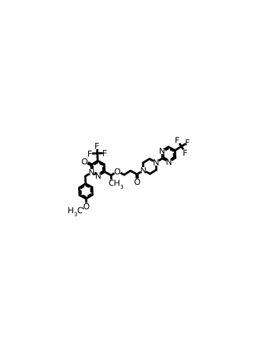 COc1ccc(Cn2nc(C(C)OCCC(=O)N3CCN(c4ncc(C(F)(F)F)cn4)CC3)cc(C(F)(F)F)c2=O)cc1